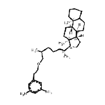 CC(CCC[C@@H](C)[C@H]1CC[C@H]2[C@@H]3CCC4CCCC[C@]4(C)[C@H]3CC[C@]12C)COCCc1cc(N)cc(N)c1